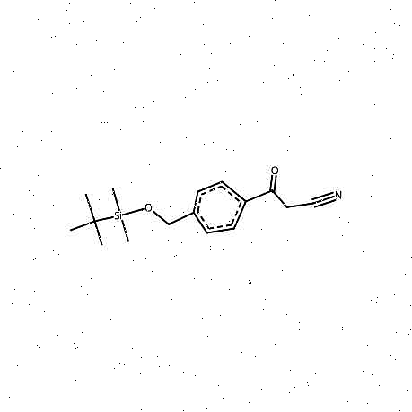 CC(C)(C)[Si](C)(C)OCc1ccc(C(=O)CC#N)cc1